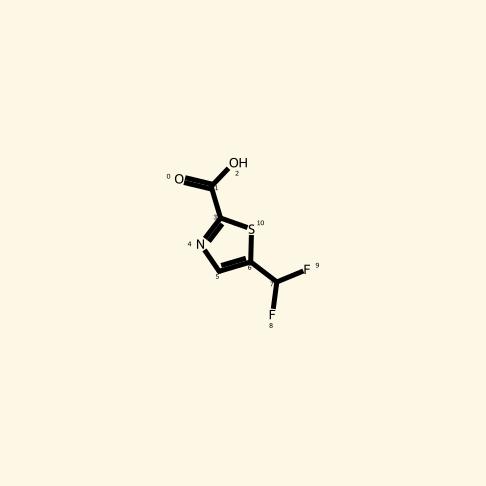 O=C(O)c1ncc(C(F)F)s1